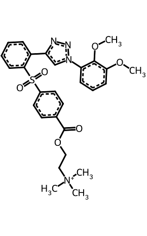 COc1cccc(-n2cc(-c3ccccc3S(=O)(=O)c3ccc(C(=O)OCC[N+](C)(C)C)cc3)nn2)c1OC